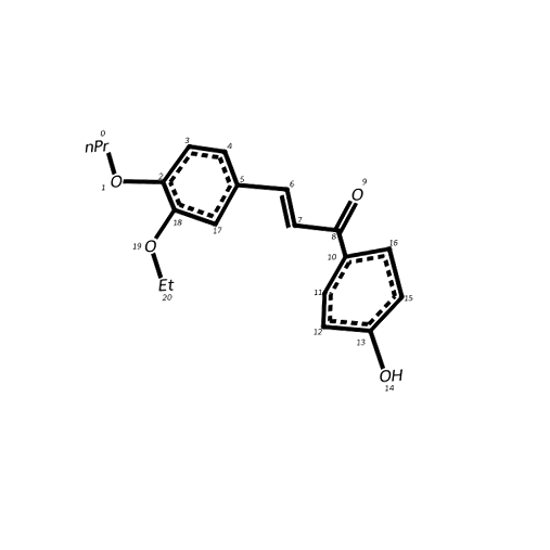 CCCOc1ccc(/C=C/C(=O)c2ccc(O)cc2)cc1OCC